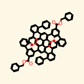 O=C(OCc1ccccc1)c1cc2c3c(c1)-c1cc(-c4c(-c5ccccc5)cccc4-c4ccccc4)c4cc5c6c(cc(-c7c(-c8ccccc8)cccc7-c7ccccc7)c7cc(c1c4c76)B3c1ccccc1-2)-c1cc(C(=O)OCc2ccccc2)cc2c1B5c1ccccc1-2